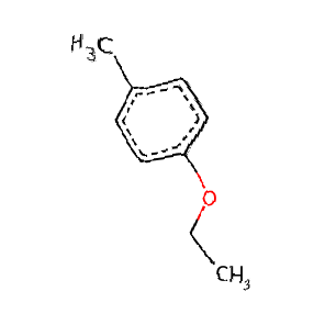 CCOc1ccc(C)cc1